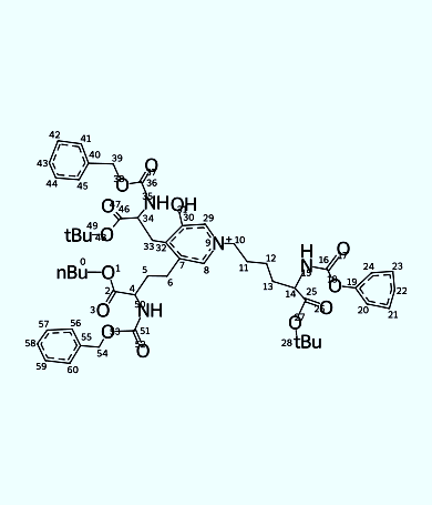 CCCCOC(=O)C(CCc1c[n+](CCCCC(NC(=O)Oc2ccccc2)C(=O)OC(C)(C)C)cc(O)c1CC(NC(=O)OCc1ccccc1)C(=O)OC(C)(C)C)NC(=O)OCc1ccccc1